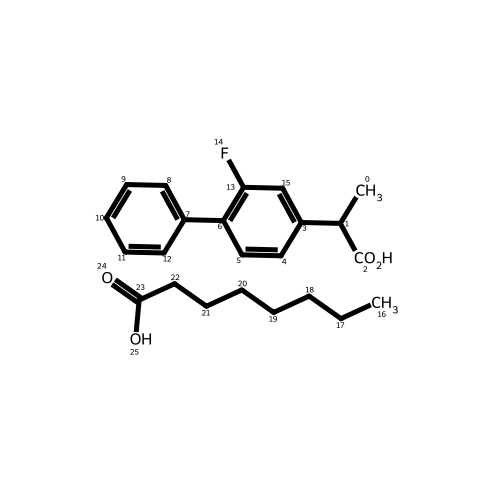 CC(C(=O)O)c1ccc(-c2ccccc2)c(F)c1.CCCCCCCC(=O)O